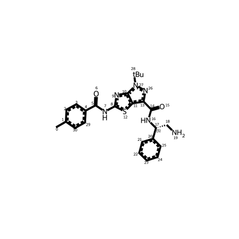 Cc1ccc(C(=O)Nc2nc3c(s2)c(C(=O)N[C@H](CN)c2ccccc2)nn3C(C)(C)C)cc1